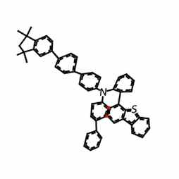 CC1(C)CC(C)(C)c2cc(-c3ccc(-c4ccc(N(c5ccc(-c6ccccc6)cc5)c5ccccc5-c5cccc6c5sc5ccccc56)cc4)cc3)ccc21